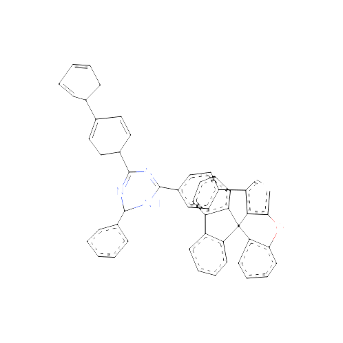 C1=CCC(C2=CCC(C3=NC(c4ccccc4)NC(c4ccc(-c5cccc6c5C5(c7ccccc7O6)c6ccccc6-c6ccccc65)cc4)=N3)C=C2)C=C1